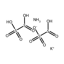 N.O=S(O)S(=O)(=O)O.O=S(O)S(=O)(=O)[O-].[K+]